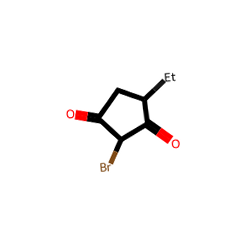 CCC1CC(=O)C(Br)C1=O